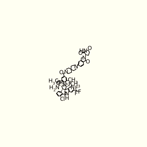 COc1cc(C(=O)N2CCC3(CC2)CCN(c2ccc4c(c2)CN(C2CCC(=O)NC2=O)C4=O)CC3)ccc1N1[C@@H](CC(C)(C)C)[C@@]2(CNc3cc(C(F)(F)F)ncc32)[C@@H](c2cccc(Cl)c2F)[C@@H]1C(N)=O